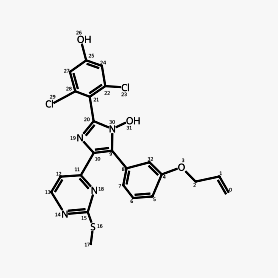 C=CCOc1cccc(-c2c(-c3ccnc(SC)n3)nc(-c3c(Cl)cc(O)cc3Cl)n2O)c1